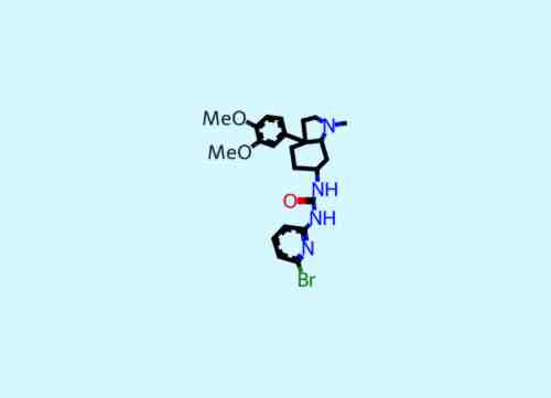 COc1ccc(C23CCC(NC(=O)Nc4cccc(Br)n4)CC2N(C)CC3)cc1OC